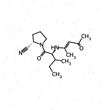 CCC(C)[C@H](N/C(C)=C/C(C)=O)C(=O)N1CCC[C@H]1C#N